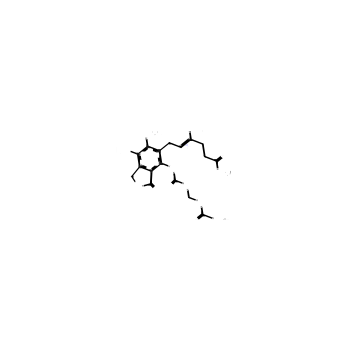 CCCC(C)C(=O)OCOC(=O)Oc1c(C/C=C(\C)CCC(=O)OC)c(OC)c(C)c2c1C(=O)OC2